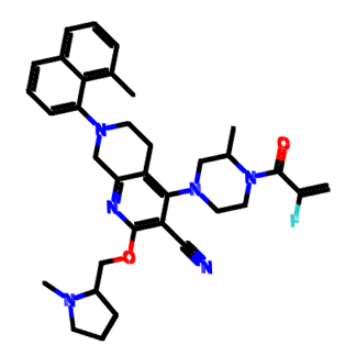 C=C(F)C(=O)N1CCN(c2c(C#N)c(OCC3CCCN3C)nc3c2CCN(c2cccc4cccc(C)c24)C3)CC1C